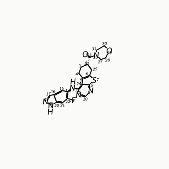 O=C([C@H]1CCc2c(sc3ncnc(Nc4cc5cn[nH]c5cc4F)c23)C1)N1CCOCC1